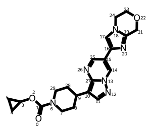 O=C(OC1CC1)N1CCC(c2cnn3cc(-c4cn5c(n4)COCC5)cnc23)CC1